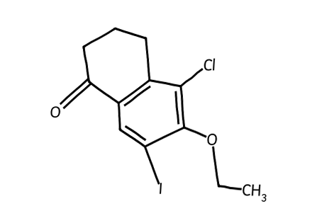 CCOc1c(I)cc2c(c1Cl)CCCC2=O